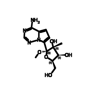 CO[C@@]1(c2ccc3c(N)ncnn23)O[C@H](CO)[C@@H](O)[C@@]1(C)O